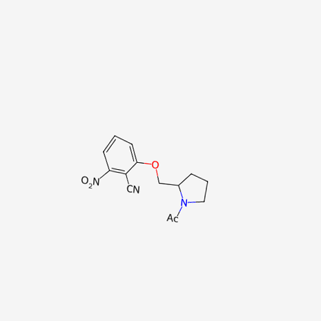 CC(=O)N1CCCC1COc1cccc([N+](=O)[O-])c1C#N